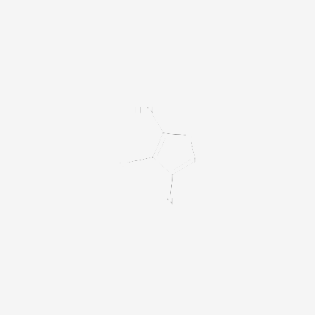 Nc1csc(N)c1Cl